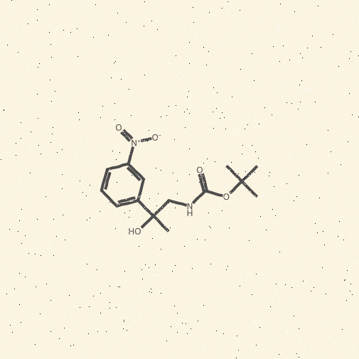 CC(C)(C)OC(=O)NCC(C)(O)c1cccc([N+](=O)[O-])c1